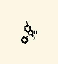 O=c1[nH]c2cc(Br)ccc2n1-c1ccccc1